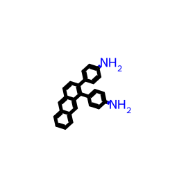 Nc1ccc(-c2ccc3cc4ccccc4cc3c2-c2ccc(N)cc2)cc1